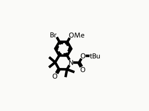 COc1cc2c(cc1Br)C(C)(C)C(=O)C(C)(C)N2C(=O)OC(C)(C)C